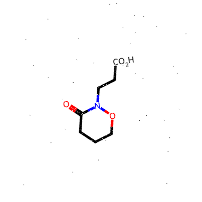 O=C(O)CCN1OCCCC1=O